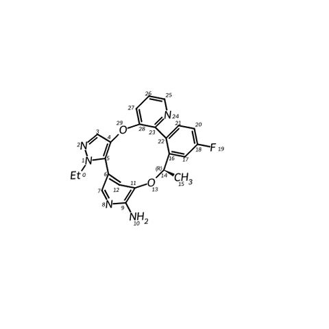 CCn1ncc2c1-c1cnc(N)c(c1)O[C@H](C)c1cc(F)ccc1-c1ncccc1O2